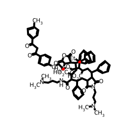 CCC(c1ccccc1)C(C(=O)OCCOc1ccc(C(=O)CC(=O)c2ccc(C)cc2)cc1)C(CC(c1ccccc1)C1C(=O)N(CCCN(C)C)C(=O)C1CC(c1ccccc1)C(C(=O)NCCCN(C)C)C(CC(c1ccccc1)C1C(=O)OC(=O)C1C)C(=O)O)C(=O)O